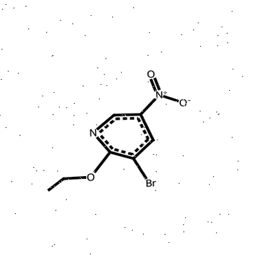 CCOc1ncc([N+](=O)[O-])cc1Br